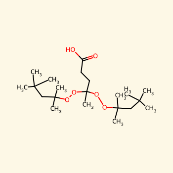 CC(C)(C)CC(C)(C)OOC(C)(CCC(=O)O)OOC(C)(C)CC(C)(C)C